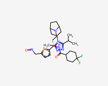 Cc1nnc(C(C)C)n1C1CC2CCC(C1)N2CC[C@H](NC(=O)C1CCC(F)(F)CC1)c1ccc(CN=O)s1